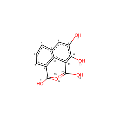 O=C(O)c1cccc2cc(O)c(O)c(C(=O)O)c12